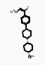 CCCC/C=C(/F)c1ccc(C2CCC([C@H]3CC[C@H](CCC)CC3)CC2)cc1